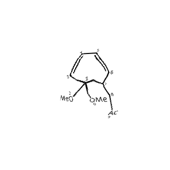 COC1(OC)C=CC=CC1CC(C)=O